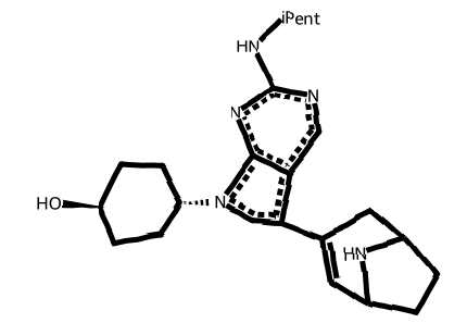 CCCC(C)Nc1ncc2c(C3=CC4CCC(C3)N4)cn([C@H]3CC[C@H](O)CC3)c2n1